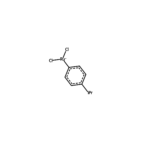 CC(C)c1cc[c]([Ru-]([Cl])[Cl])cc1